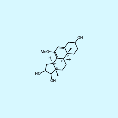 COC1=C2[C@@H](CC[C@]3(C)C(O)C(O)C[C@@H]23)[C@@]2(C)CCC(O)CC2=C1